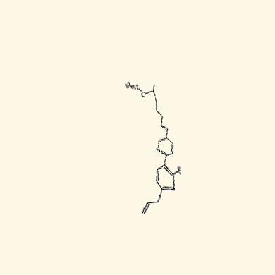 C=CCc1ccc(-c2ccc(/C=C/CCCC(C)OCCCCC)cn2)c(F)c1